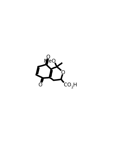 COC1(C)OC(C(=O)O)CC2=C1C(=O)C=CC2=O